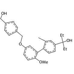 CCC(O)(CC)c1ccc(-c2cc(OCc3c[c]c(CO)cc3)ccc2OC)c(C)c1